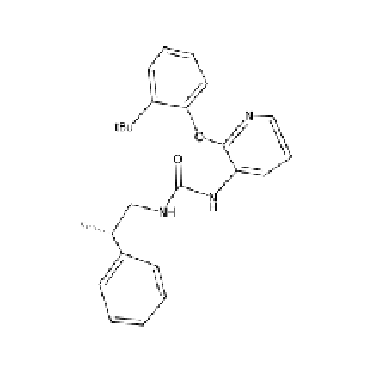 C[C@H](CNC(=O)Nc1cccnc1Oc1ccccc1C(C)(C)C)c1ccccc1